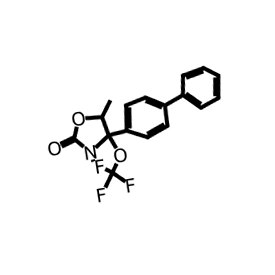 CC1OC(=O)N(C)C1(OC(F)(F)F)c1ccc(-c2ccccc2)cc1